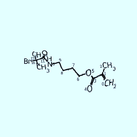 C=C(C)C(=O)OCCCCNC(=O)C(C)(C)Br